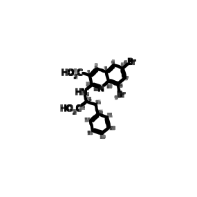 O=C(O)c1cc2cc(Br)cc(Br)c2nc1NC(Cc1ccccc1)C(=O)O